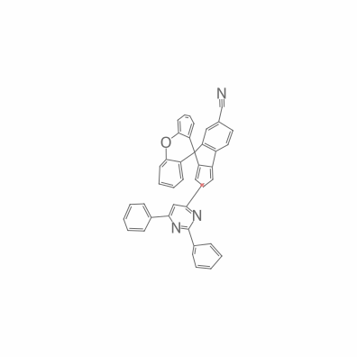 N#Cc1ccc2c(c1)C1(c3ccccc3Oc3ccccc31)c1cc(-c3cc(-c4ccccc4)nc(-c4ccccc4)n3)ccc1-2